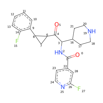 O=C(NC(C(=O)C1CC1c1ccccc1F)C1CCNCC1)c1ccnc(F)c1